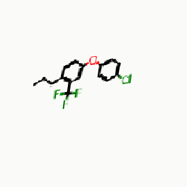 CC[CH]c1ccc(Oc2ccc(Cl)cc2)cc1C(F)(F)F